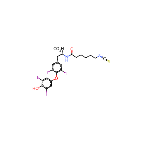 O=C(CCCCCN=C=S)N[C@@H](Cc1cc(I)c(Oc2cc(I)c(O)c(I)c2)c(I)c1)C(=O)O